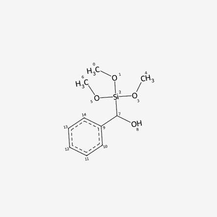 CO[Si](OC)(OC)C(O)c1ccccc1